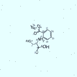 NC(CO)C(=O)O.O=C([O-])c1ccccc1.[Na+]